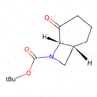 CC(C)(C)OC(=O)N1C[C@H]2CCCC(=O)[C@H]21